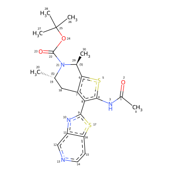 CC(=O)Nc1sc2c(c1-c1nc3cnccc3s1)C[C@H](C)N(C(=O)OC(C)(C)C)[C@H]2C